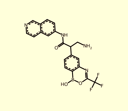 NCC(C(=O)Nc1ccc2cnccc2c1)c1ccc2c(c1)N=C(C(F)(F)F)OB2O